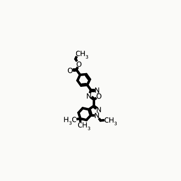 CCOC(=O)C1C=CC(c2noc(-c3nn(CC)c4c3CCC(C)(C)C4)n2)=CC1